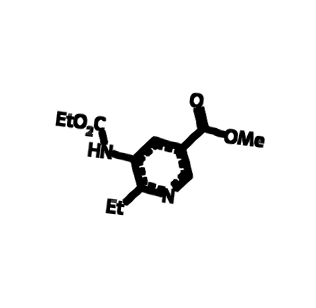 CCOC(=O)Nc1cc(C(=O)OC)cnc1CC